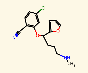 CNCCCC(Oc1cc(Cl)ccc1C#N)c1ccco1